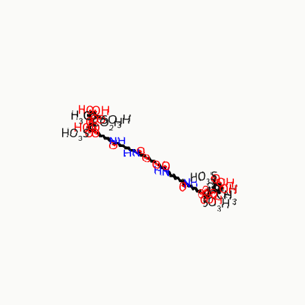 CC1C(OC2C(C(=O)O)OC(OCCCCCCNC(=O)CCCCCCCNC(=O)CCOCCCOCCC(=O)NCCCCCCCC(=O)NCCCCCCOC3OC(C(=O)O)C(OC4OC(COS(=O)(=O)O)C(O)C(O)C4C)C(O)C3OS(=O)(=O)O)C(OS(=O)(=O)O)C2O)CC(COS(=O)(=O)O)C(O)C1O